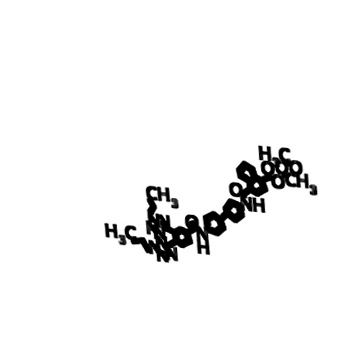 CCCCn1nnc(-c2ccc(C(=O)Nc3ccc(-c4ccc(NC(=O)c5ccc(C(=O)OC(C)OC(C)=O)c6ccccc56)cc4)cc3)cc2-c2nnn(CCCC)n2)n1